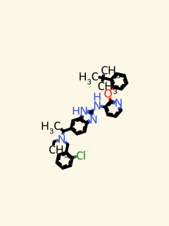 CCN(Cc1ccccc1Cl)C(C)c1ccc2nc(Nc3cccnc3Oc3ccccc3C(C)(C)C)[nH]c2c1